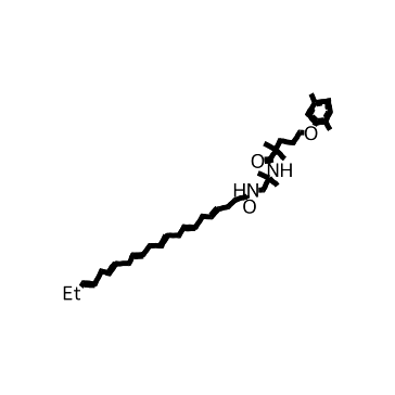 CCC=CCC=CCC=CCC=CCC=CCC=CCCC(=O)NCC(C)(C)NC(=O)C(C)(C)CCCOc1cc(C)ccc1C